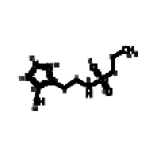 CCCS(=O)(=O)NCCn1nnnc1S